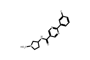 O=C(NC1CCN(C(=O)O)C1)c1cnc(-c2cccc(F)c2)nc1